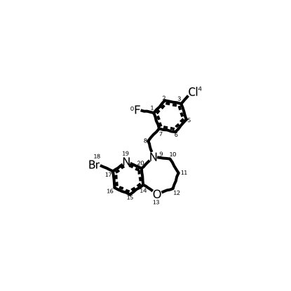 Fc1cc(Cl)ccc1CN1CCCOc2ccc(Br)nc21